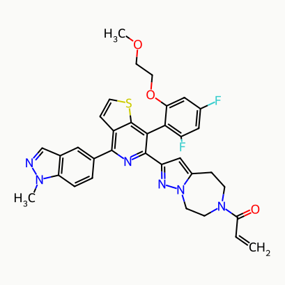 C=CC(=O)N1CCc2cc(-c3nc(-c4ccc5c(cnn5C)c4)c4ccsc4c3-c3c(F)cc(F)cc3OCCOC)nn2CC1